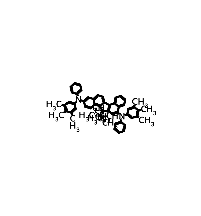 Cc1cc(N(c2ccccc2)c2ccc3c4c(ccc3c2)-c2c(cc(N(c3ccccc3)c3cc(C)c(C)c(C)c3)c3ccccc23)C4([Si](C)(C)C)[Si](C)(C)C)cc(C)c1C